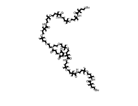 CC(C)(C)CCC(C)(C)C(=O)NC(C)(C)CCOC(C)(C)CCNC(=O)C(C)(C)CCOC(C)(C)CCNC(=O)C(C)(C)CCOC(C)(C)CCOCCN(CCOCCC(C)(C)OCCC(C)(C)C(=O)NCCC(C)(C)OCCC(C)(C)C(=O)NCCC(C)(C)OCCC(C)(C)NC(=O)C(C)(C)CCC(C)(C)C)C(=O)CCN1C(=O)C=CC1=O